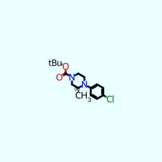 C[C@@H]1CN(C(=O)OC(C)(C)C)CCN1c1ccc(Cl)cc1